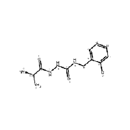 CCC[C@H](N)C(=O)NNC(=O)NCc1ccccc1Cl